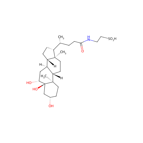 C[C@H](CCC(=O)NCCS(=O)(=O)O)[C@H]1CC[C@H]2[C@@H]3C[C@@H](O)[C@@]4(O)C[C@@H](O)CC[C@]4(C)[C@H]3CC[C@]12C